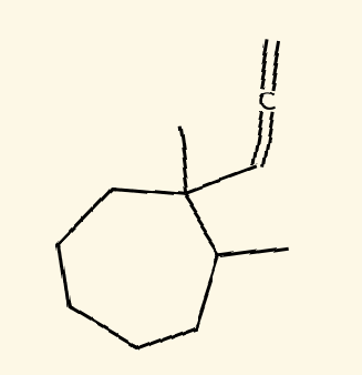 C=C=CC1(C)CCCCCC1C